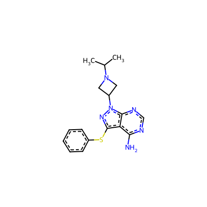 CC(C)N1CC(n2nc(Sc3ccccc3)c3c(N)ncnc32)C1